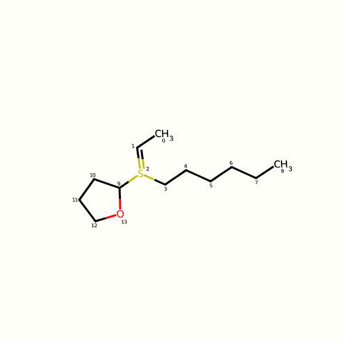 CC=S(CCCCCC)C1CCCO1